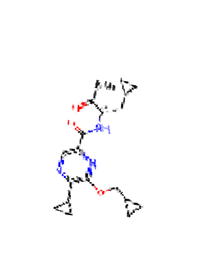 CNC(=O)[C@H](CC1CC1)NC(=O)c1cnc(C2CC2)c(OCC2CC2)n1